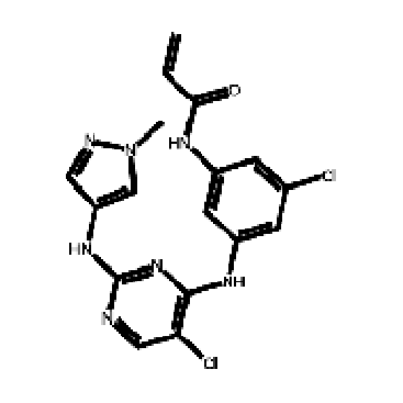 C=CC(=O)Nc1cc(Cl)cc(Nc2nc(Nc3cnn(C)c3)ncc2Cl)c1